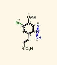 COc1ccc(C=CC(=O)O)cc1Br.[N-]=[N+]=N